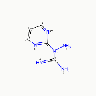 N=C(N)N(N)c1ncccn1